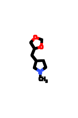 CN1CCC(CC2COCO2)C1